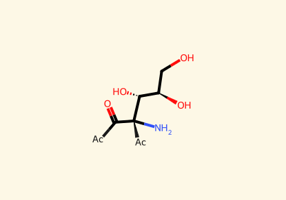 CC(=O)C(=O)[C@](N)(C(C)=O)[C@H](O)[C@H](O)CO